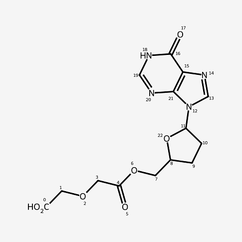 O=C(O)COCC(=O)OCC1CCC(n2cnc3c(=O)[nH]cnc32)O1